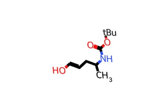 CC(CC=CO)NC(=O)OC(C)(C)C